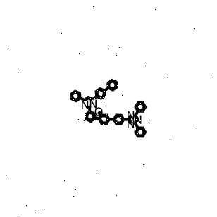 c1ccc(-c2ccc(-c3cc(-c4ccccc4)nc(-c4cccc5c4oc4cc(-c6ccc(-c7nc(-c8ccccc8)nc(-c8ccccc8)n7)cc6)ccc45)n3)cc2)cc1